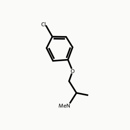 CNC(C)COc1ccc(Cl)cc1